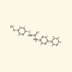 CCSc1ccc(CNC(=O)Nc2ccc(-c3ccccc3)cc2)cc1